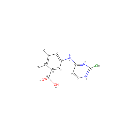 Cc1cc(Nc2ccnc(Cl)n2)cc(C(=O)O)c1C